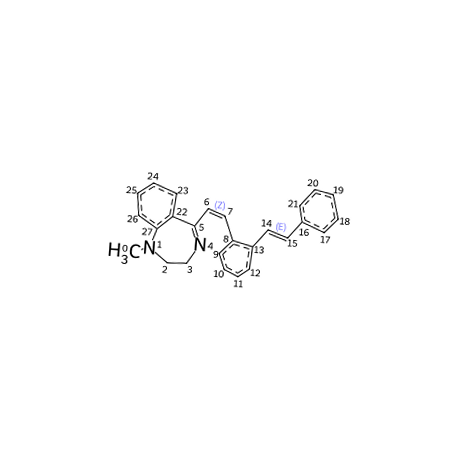 CN1CCN=C(/C=C\c2ccccc2/C=C/c2ccccc2)c2ccccc21